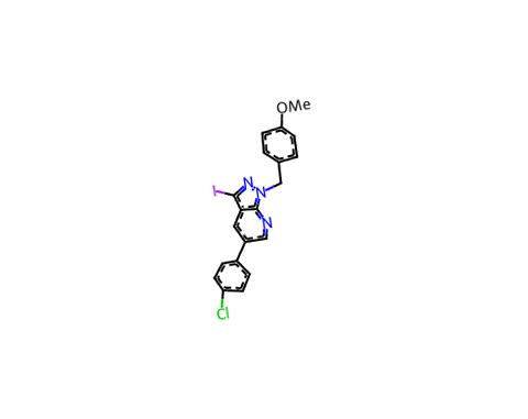 COc1ccc(Cn2nc(I)c3cc(-c4ccc(Cl)cc4)cnc32)cc1